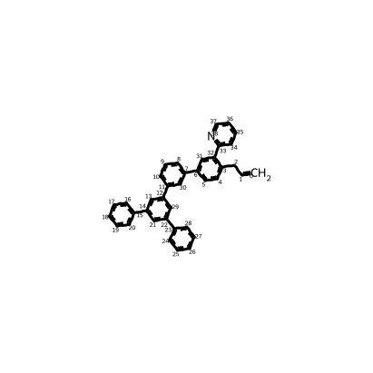 C=CCc1ccc(-c2cccc(-c3cc(-c4ccccc4)cc(-c4ccccc4)c3)c2)cc1-c1ccccn1